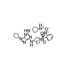 N[C@H]1CC[C@H](Nc2nc(NC3CCN(S(=O)(=O)c4ccccc4[N+](=O)[O-])CC3)c3ncn(C4CCCC4)c3n2)CC1